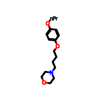 CCCOc1ccc(OCCCCN2CCOCC2)cc1